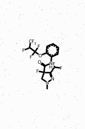 CN1CC(F)(C(=O)Nc2ccccc2OC(F)(F)C(F)C(F)(F)F)C(C(F)F)=N1